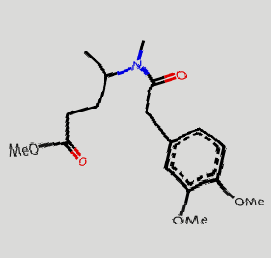 COC(=O)CCC(C)N(C)C(=O)Cc1ccc(OC)c(OC)c1